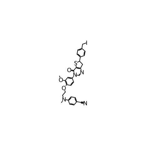 COc1cc(-n2cnc3c(c2=O)SC(c2ccc(CI)cc2)C3)ccc1OCCN(C)c1ccc(C#N)cc1